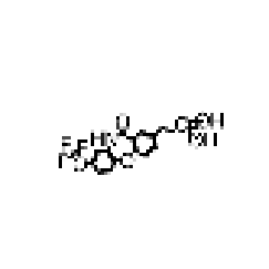 O=C1Nc2cc(OC(F)(F)F)ccc2Oc2ccc(CCOP(O)O)cc21